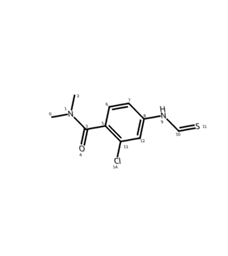 CN(C)C(=O)c1ccc(NC=S)cc1Cl